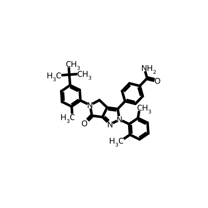 Cc1ccc(C(C)(C)C)cc1N1Cc2c(nn(-c3c(C)cccc3C)c2-c2ccc(C(N)=O)cc2)C1=O